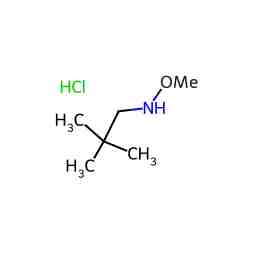 CONCC(C)(C)C.Cl